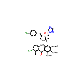 CC1(C)CC/C(=C\c2ccc(Cl)cc2)C1(O)Cn1cncn1.COc1cc(C)c(C(=O)c2c(OC)ccc(Br)c2C)c(OC)c1OC